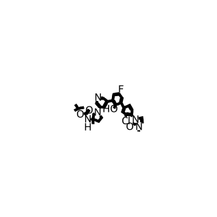 Cn1ccn(-c2ccc(-c3cc(F)cc(-c4cncc(N5CCC(C)(NC(=O)OC(C)(C)C)C5)c4)c3O)cc2Cl)c1=O